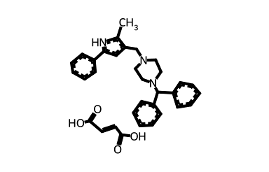 Cc1[nH]c(-c2ccccc2)cc1CN1CCN(C(c2ccccc2)c2ccccc2)CC1.O=C(O)C=CC(=O)O